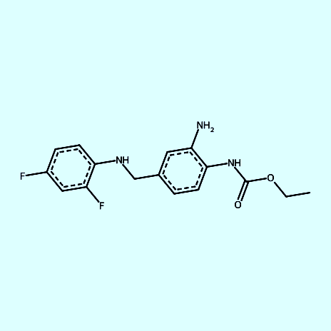 CCOC(=O)Nc1ccc(CNc2ccc(F)cc2F)cc1N